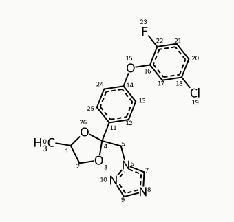 CC1COC(Cn2cncn2)(c2ccc(Oc3cc(Cl)ccc3F)cc2)O1